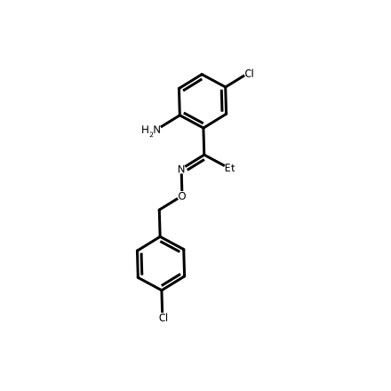 CC/C(=N\OCc1ccc(Cl)cc1)c1cc(Cl)ccc1N